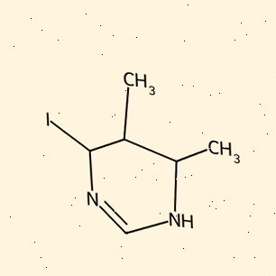 CC1NC=NC(I)C1C